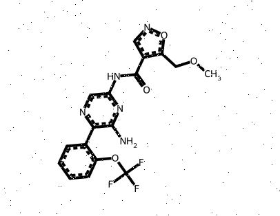 COCc1oncc1C(=O)Nc1cnc(-c2ccccc2OC(F)(F)F)c(N)n1